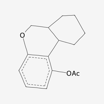 CC(=O)Oc1cccc2c1C1CCCCC1CO2